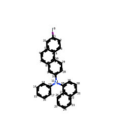 Ic1ccc2c(ccc3cc(N(c4ccccc4)c4cccc5ccccc45)ccc32)c1